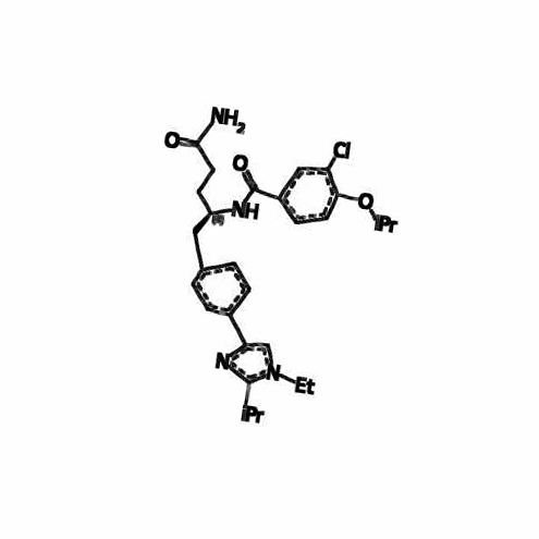 CCn1cc(-c2ccc(C[C@@H](CCC(N)=O)NC(=O)c3ccc(OC(C)C)c(Cl)c3)cc2)nc1C(C)C